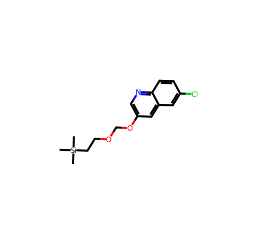 C[Si](C)(C)CCOCOc1cnc2ccc(Cl)cc2c1